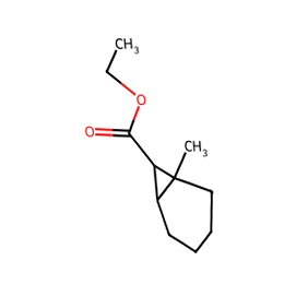 CCOC(=O)C1C2CCCCC21C